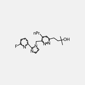 CCCc1cc(CCC(C)(C)O)nnc1Cn1ccnc1-c1cccc(F)n1